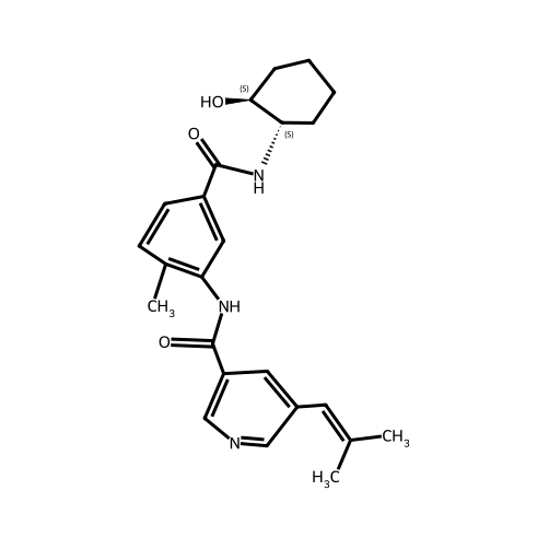 CC(C)=Cc1cncc(C(=O)Nc2cc(C(=O)N[C@H]3CCCC[C@@H]3O)ccc2C)c1